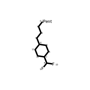 CCCC(C)CCCC1CCC(C(F)F)CC1